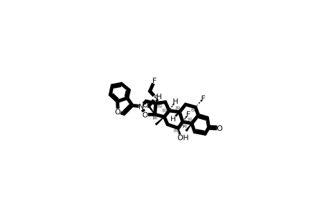 C[C@]12C=CC(=O)C=C1[C@@H](F)C[C@H]1[C@@H]3C[C@H]4CN(c5coc6ccccc56)O[C@@]4(C(=O)SCF)[C@@]3(C)C[C@H](O)[C@@]12F